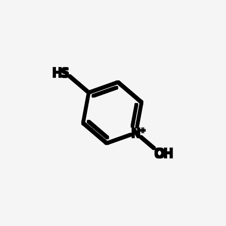 O[n+]1ccc(S)cc1